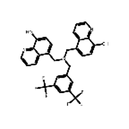 Oc1ccc(CN(Cc2cc(C(F)(F)F)cc(C(F)(F)F)c2)Cc2ccc(O)c3ncccc23)c2cccnc12